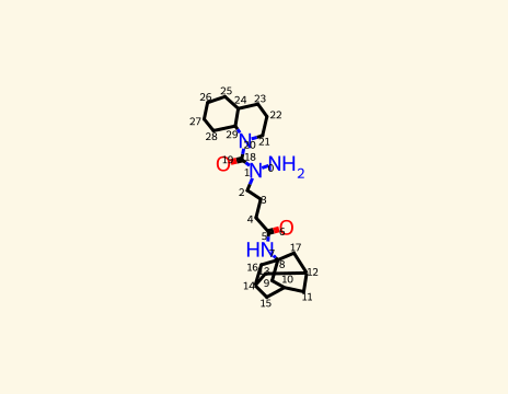 NN(CCCC(=O)NC12CC3CC(CC(C3)C1)C2)C(=O)N1CCCC2CCCCC21